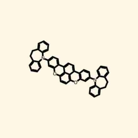 c1ccc2c(c1)CCc1ccccc1N2c1ccc2c(c1)Oc1ccc3c4c(ccc-2c14)-c1ccc(N2c4ccccc4CCc4ccccc42)cc1O3